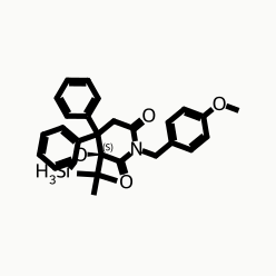 COc1ccc(CN2C(=O)CC(c3ccccc3)(c3ccccc3)[C@@](O[SiH3])(C(C)(C)C)C2=O)cc1